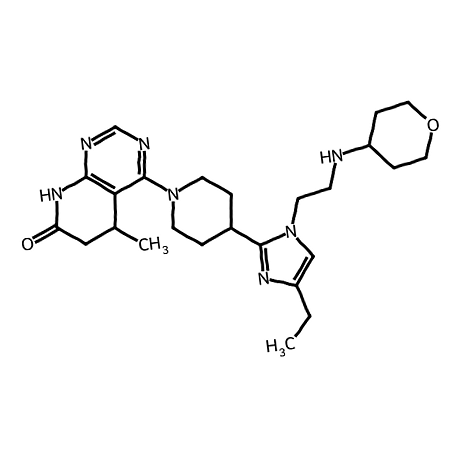 CCc1cn(CCNC2CCOCC2)c(C2CCN(c3ncnc4c3C(C)CC(=O)N4)CC2)n1